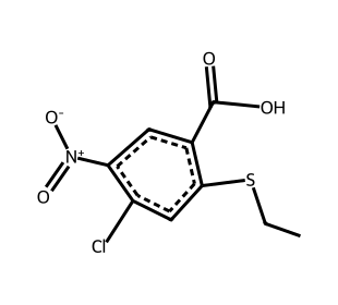 CCSc1cc(Cl)c([N+](=O)[O-])cc1C(=O)O